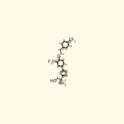 C[C@](N)(CO)c1nnc(-c2ccc(OCCc3ccc(C(F)(F)F)cc3)c(C(F)(F)F)c2)s1